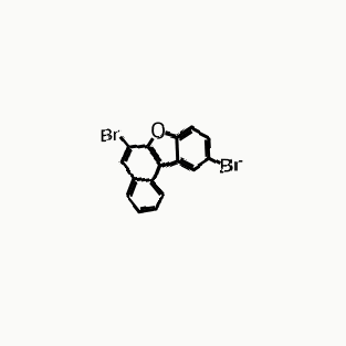 Brc1ccc2oc3c(Br)cc4ccccc4c3c2c1